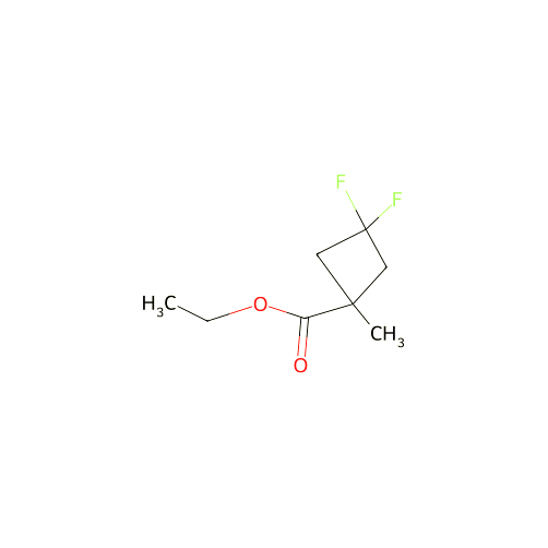 CCOC(=O)C1(C)CC(F)(F)C1